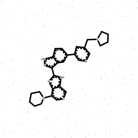 c1ncc(-c2ccc3[nH]nc(-c4nc5c(N6CCCCC6)cncc5[nH]4)c3c2)cc1CN1CCCC1